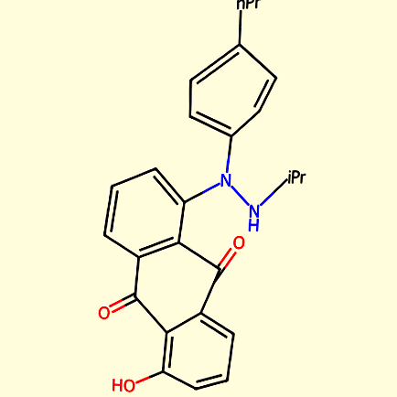 CCCc1ccc(N(NC(C)C)c2cccc3c2C(=O)c2cccc(O)c2C3=O)cc1